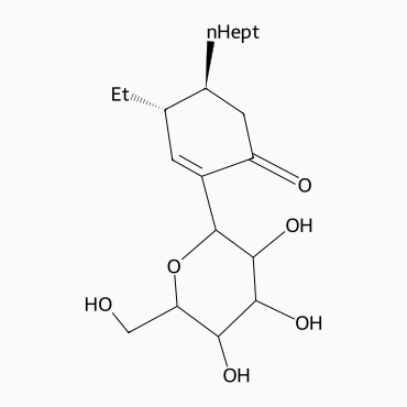 CCCCCCC[C@H]1CC(=O)C(C2OC(CO)C(O)C(O)C2O)=C[C@@H]1CC